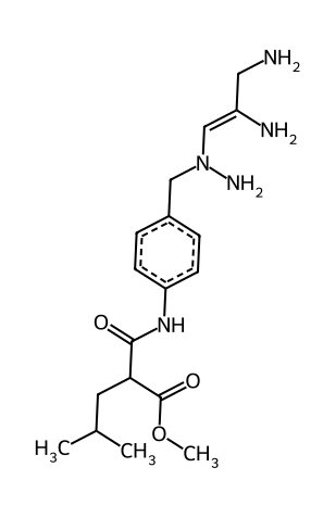 COC(=O)C(CC(C)C)C(=O)Nc1ccc(CN(N)/C=C(\N)CN)cc1